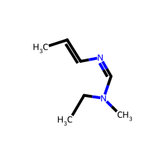 C/C=C/N=C\N(C)CC